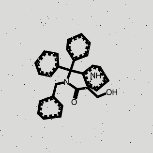 N[C@H](CO)C(=O)N(Cc1ccccc1)C(c1ccccc1)(c1ccccc1)c1ccccc1